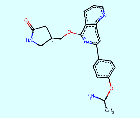 CC(N)Oc1ccc(-c2cc3ncccc3c(OC[C@H]3CNC(=O)C3)n2)cc1